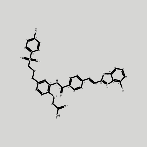 O=C(O)COc1ccc(CCCS(=O)(=O)c2ccc(Cl)cc2)cc1NC(=O)c1ccc(C=Cc2nc3c(F)cccc3s2)cc1